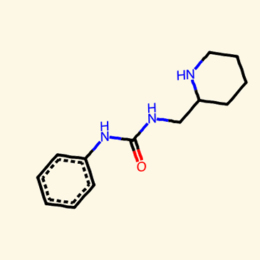 O=C(NCC1CCCCN1)Nc1ccccc1